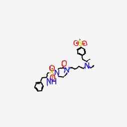 CCN(CCCCN1CCCN(S(=O)(=O)CC(Cc2ccccc2)NC)CC1=O)C(C)Cc1ccc(S(C)(=O)=O)cc1